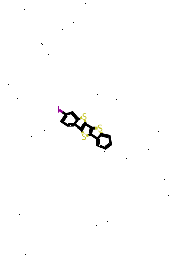 Ic1ccc2c(c1)sc1c2sc2c3ccccc3sc21